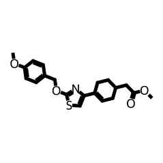 COC(=O)CC1CC=C(c2csc(OCc3ccc(OC)cc3)n2)CC1